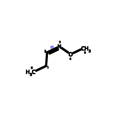 CC/[C]=N\OC